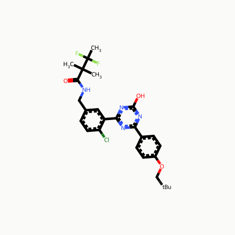 CC(C)(C)COc1ccc(-c2nc(O)nc(-c3cc(CNC(=O)C(C)(C)C(C)(F)F)ccc3Cl)n2)cc1